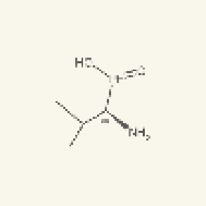 CC(C)[C@H](N)[PH](=O)O